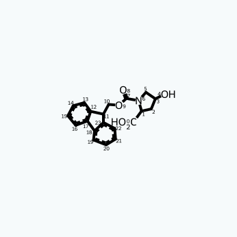 O=C(O)C1CC(O)CN1C(=O)OCC1c2ccccc2-c2ccccc21